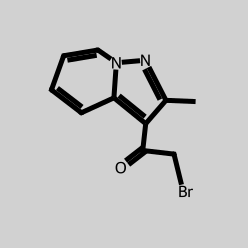 Cc1nn2ccccc2c1C(=O)CBr